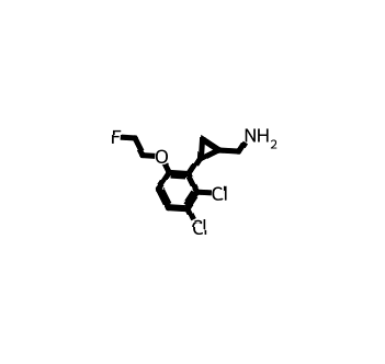 NCC1CC1c1c(OCCF)ccc(Cl)c1Cl